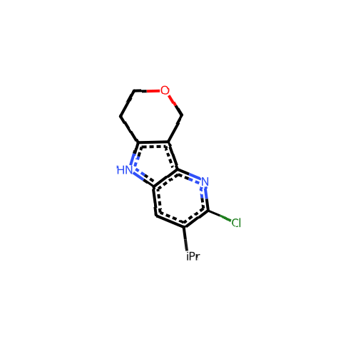 CC(C)c1cc2[nH]c3c(c2nc1Cl)COCC3